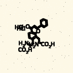 Cl.Cl.NC(Cc1c(C[C@H](N)C(=O)O)ccc2c(=O)cc(-c3ccccc3)oc12)C(=O)O